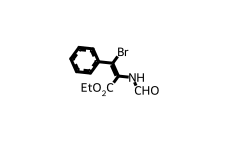 CCOC(=O)/C(NC=O)=C(/Br)c1ccccc1